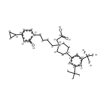 CC(C)(C)c1nc(N2CC[N+](CCCCn3ccc(C4CC4)nc3=O)(CC(=O)[O-])CC2)cc(C(F)(F)F)n1